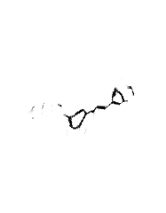 COCOc1ccc(C(=O)C=Cc2ccc3c(c2)OCCO3)c(O)c1